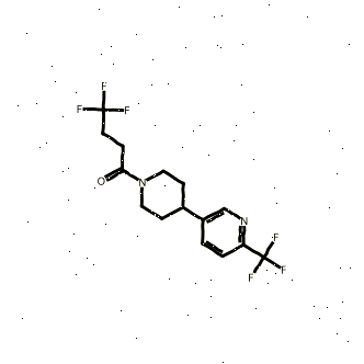 O=C(CCC(F)(F)F)N1CCC(c2ccc(C(F)(F)F)nc2)CC1